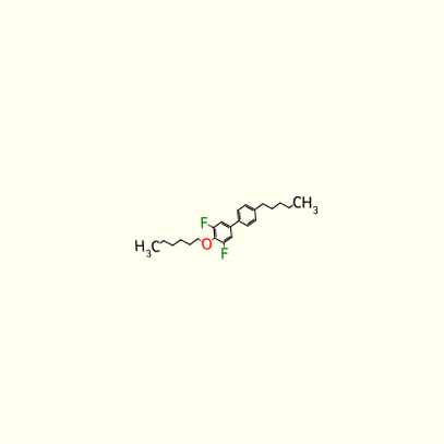 CCCCCCOc1c(F)cc(-c2ccc(CCCCC)cc2)cc1F